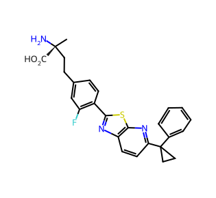 C[C@@](N)(CCc1ccc(-c2nc3ccc(C4(c5ccccc5)CC4)nc3s2)c(F)c1)C(=O)O